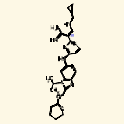 CC(C)n1c(COC2CCCCO2)nc2cnc(Nc3ccnc(/C(=C/NCC4CC4)C(=N)N)n3)cc21